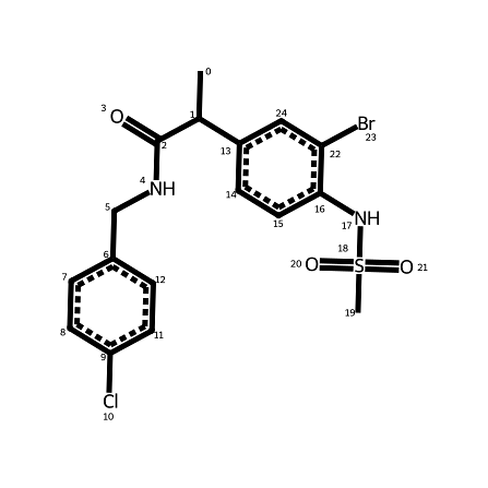 CC(C(=O)NCc1ccc(Cl)cc1)c1ccc(NS(C)(=O)=O)c(Br)c1